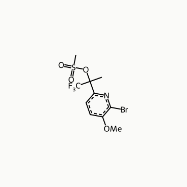 COc1ccc(C(C)(OS(C)(=O)=O)C(F)(F)F)nc1Br